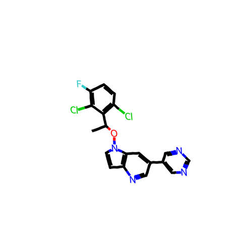 CC(On1ccc2ncc(-c3cncnc3)cc21)c1c(Cl)ccc(F)c1Cl